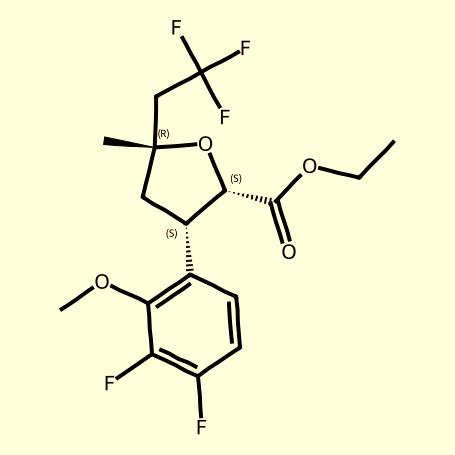 CCOC(=O)[C@H]1O[C@@](C)(CC(F)(F)F)C[C@H]1c1ccc(F)c(F)c1OC